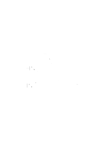 BrC1CNNC1.Cl